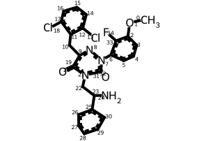 COc1cccc(-n2nc(Cc3c(Cl)cccc3Cl)c(=O)n(CC(N)c3ccccc3)c2=O)c1F